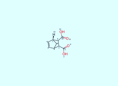 O=C(O)C1C2C=C[C@@H](C2)C1C(=O)O